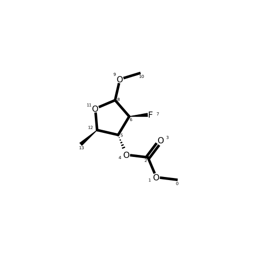 COC(=O)O[C@H]1[C@H](F)C(OC)O[C@@H]1C